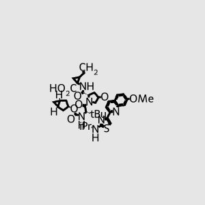 C=CC1C[C@]1(NC(=O)[C@@H]1CC(Oc2cc(-c3csc(NC(C)C)n3)nc3cc(OC)ccc23)CN1C(=O)[C@@H](NC(=O)O[C@@H]1C[C@@H]2C[C@@H]2C1)C(C)(C)C)C(=O)O